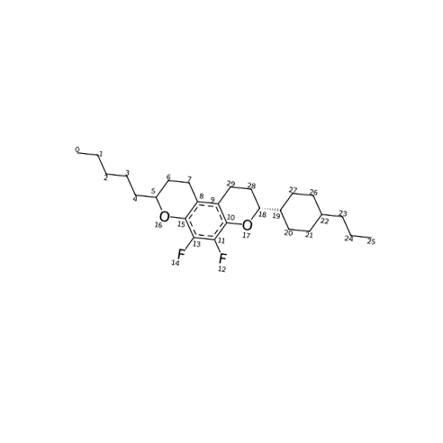 CCCCCC1CCc2c3c(c(F)c(F)c2O1)O[C@@H](C1CCC(CCC)CC1)CC3